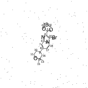 CC(C)(C)OC(=O)c1nc2cc(C3CCOC(C)(C)C3)ccn2c1Br